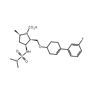 C[C@@H]1C[C@H](NS(=O)(=O)N(C)C)[C@H](COC2CC=C(c3cccc(F)c3)CC2)N1C(=O)O